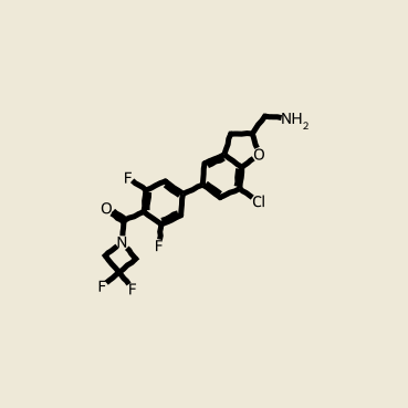 NCC1Cc2cc(-c3cc(F)c(C(=O)N4CC(F)(F)C4)c(F)c3)cc(Cl)c2O1